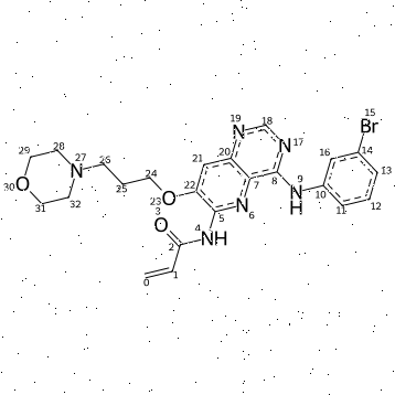 C=CC(=O)Nc1nc2c(Nc3cccc(Br)c3)ncnc2cc1OCCCN1CCOCC1